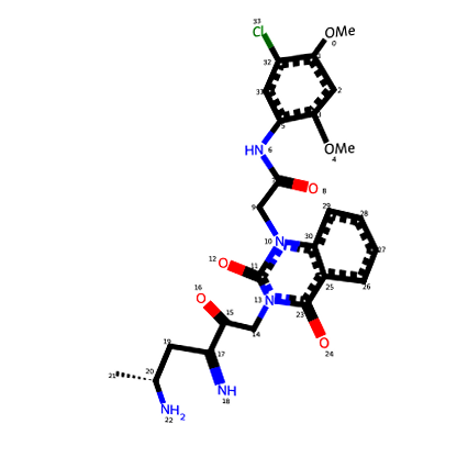 COc1cc(OC)c(NC(=O)Cn2c(=O)n(CC(=O)C(=N)C[C@@H](C)N)c(=O)c3ccccc32)cc1Cl